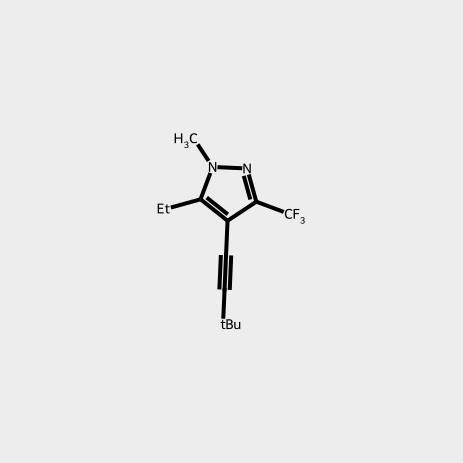 CCc1c(C#CC(C)(C)C)c(C(F)(F)F)nn1C